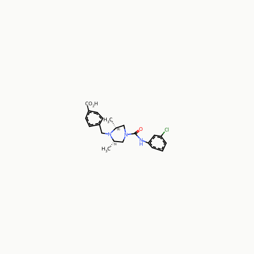 C[C@@H]1CN(C(=O)Nc2cccc(Cl)c2)C[C@H](C)N1Cc1ccc(C(=O)O)cc1